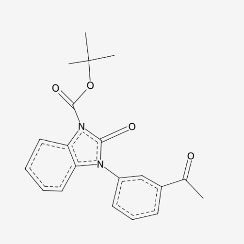 CC(=O)c1cccc(-n2c(=O)n(C(=O)OC(C)(C)C)c3ccccc32)c1